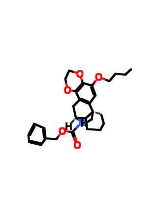 CCCCOc1cc2c(c3c1OCCO3)C[C@H]1[C@H]3CCCC[C@@]23CCN1C(=O)OCc1ccccc1